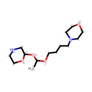 CC(OCCCCN1CCOCC1)OC1CNCCO1